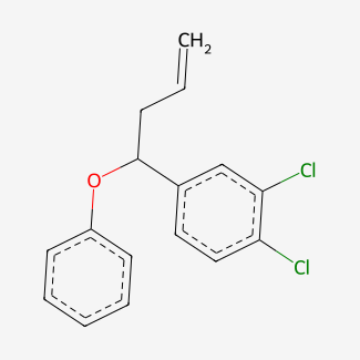 C=CCC(Oc1ccccc1)c1ccc(Cl)c(Cl)c1